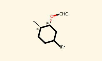 CC(C)C1CC[C@H](C)[C@H](OC=O)C1